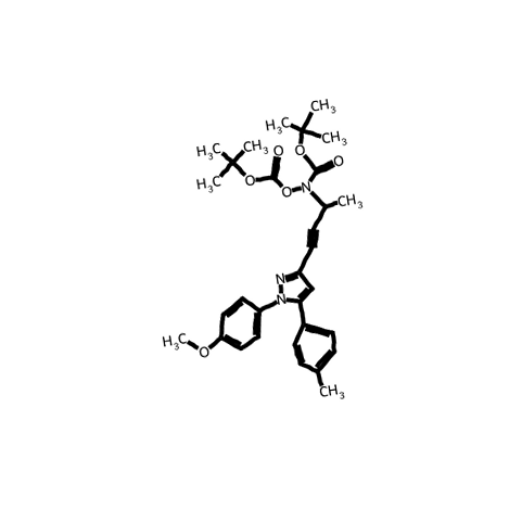 COc1ccc(-n2nc(C#CC(C)N(OC(=O)OC(C)(C)C)C(=O)OC(C)(C)C)cc2-c2ccc(C)cc2)cc1